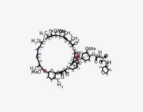 CO[C@H]1C[C@@H]2CC[C@@H](C)[C@@](O)(O2)C(=O)C(=O)N2CCCC3[C@H]2C(=O)O[C@@H](CC(=O)[C@H](C)/C=C(\C)[C@@H](O)[C@@H](OC)C(=O)[C@H](C)C[C@H](C)/C=C/C=C/C=C/1C)[C@H]3C[C@@H]1CC[C@@H](OC(=O)NS(=O)(=O)N[C@H]2CCOC2)[C@H](OC)C1